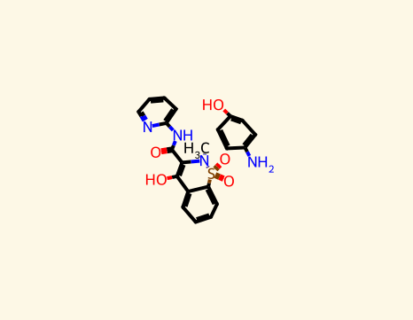 CN1C(C(=O)Nc2ccccn2)=C(O)c2ccccc2S1(=O)=O.Nc1ccc(O)cc1